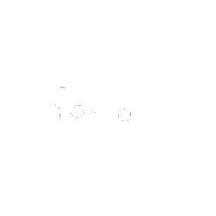 CSCCCOc1ccc2c(c1)C(C)C(C(Nc1ccc(C(=O)N(C)CCC(=O)O)cc1)C1CCCCC1)O2